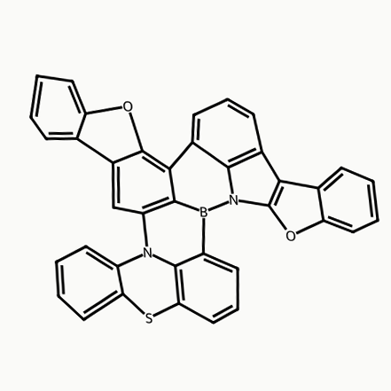 c1ccc2c(c1)Sc1cccc3c1N2c1cc2c(oc4ccccc42)c2c1B3n1c3oc4ccccc4c3c3cccc-2c31